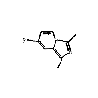 Cc1nc(C)n2ccc(C(C)C)cc12